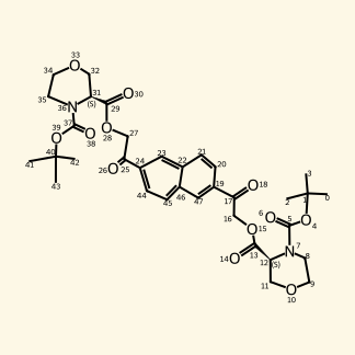 CC(C)(C)OC(=O)N1CCOC[C@H]1C(=O)OCC(=O)c1ccc2cc(C(=O)COC(=O)[C@@H]3COCCN3C(=O)OC(C)(C)C)ccc2c1